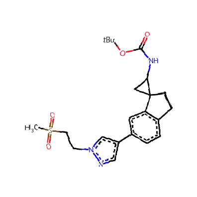 CC(C)(C)OC(=O)NC1CC12CCc1ccc(-c3cnn(CCS(C)(=O)=O)c3)cc12